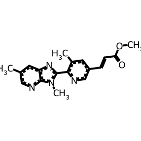 COC(=O)/C=C/c1cnc(-c2nc3cc(C)cnc3n2C)c(C)c1